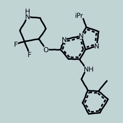 Cc1ccccc1CNc1cc(OC2CCNCC2(F)F)nn2c(C(C)C)cnc12